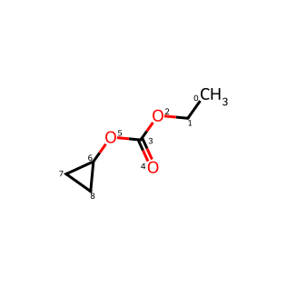 CCOC(=O)OC1CC1